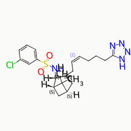 CC1(C)[C@H]2C[C@H](C/C=C\CCCc3nnn[nH]3)[C@@H](NS(=O)(=O)c3cccc(Cl)c3)[C@H]1C2